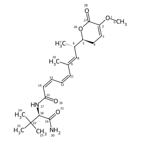 COC1=CC[C@@H]([C@@H](C)/C=C(C)/C=C\C=C/C(=O)N[C@@H](C(N)=O)C(C)(C)C)OC1=O